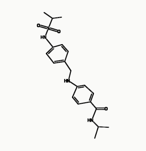 CC(C)NC(=O)c1ccc(NCc2ccc(NS(=O)(=O)C(C)C)cc2)cc1